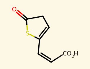 O=C(O)/C=C\C1=CCC(=O)S1